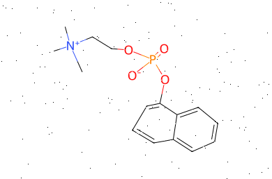 C[N+](C)(C)CCOP(=O)([O-])Oc1cccc2ccccc12